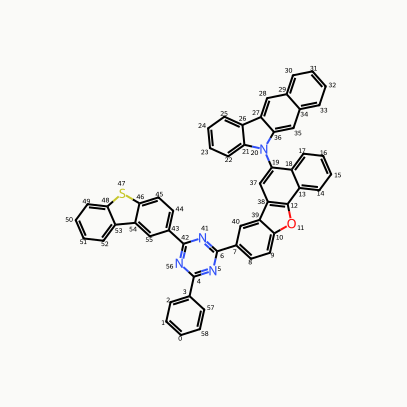 c1ccc(-c2nc(-c3ccc4oc5c6ccccc6c(-n6c7ccccc7c7cc8ccccc8cc76)cc5c4c3)nc(-c3ccc4sc5ccccc5c4c3)n2)cc1